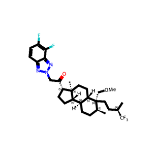 COC[C@]1(CC[C@@H](C)C(F)(F)F)[C@@H](C)CC[C@H]2[C@@H]3CC[C@H](C(=O)Cn4nc5ccc(F)c(F)c5n4)[C@@]3(C)CC[C@@H]21